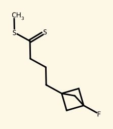 CSC(=S)CCCC12CC(F)(C1)C2